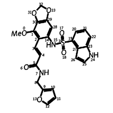 COc1c(C=CC(=O)NCc2ccco2)c(NS(=O)(=O)c2cccc3[nH]ccc23)cc2c1OCO2